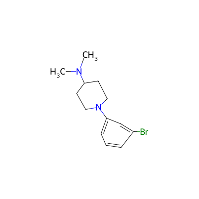 CN(C)C1CCN(c2cccc(Br)c2)CC1